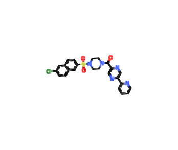 O=C(c1cnc(-c2ccccn2)cn1)N1CCN(S(=O)(=O)c2ccc3cc(Cl)ccc3c2)CC1